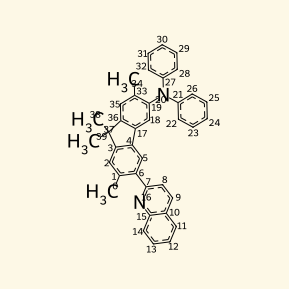 Cc1cc2c(cc1-c1ccc3ccccc3n1)-c1cc(N(c3ccccc3)c3ccccc3)c(C)cc1C2(C)C